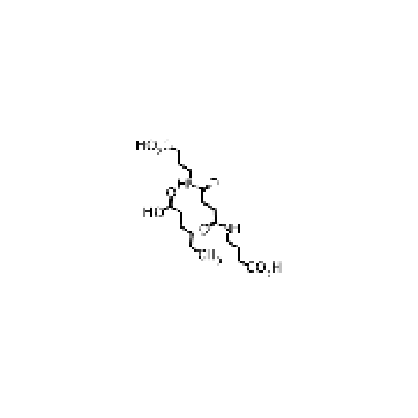 CCCCCC(=O)O.O=C(O)CCCNC(=O)CCC(=O)NCCCC(=O)O